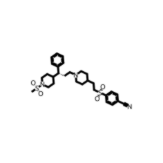 CS(=O)(=O)N1CCC([C@@H](CCN2CCC(CCS(=O)(=O)c3ccc(C#N)cc3)CC2)c2ccccc2)CC1